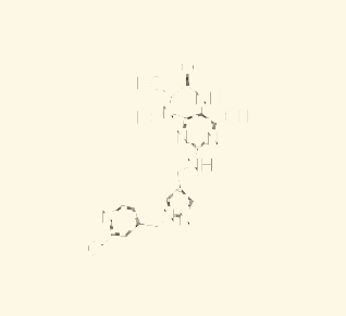 Cc1nc(NCc2cnn(Cc3ccnc(Cl)c3)c2)nc2c1NC(=O)[C@H](C)N2C